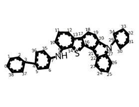 c1ccc(-c2ccc(Nc3cccc4c3sc3c4ccc4c3c3ccccc3n4-c3ccccc3)cc2)cc1